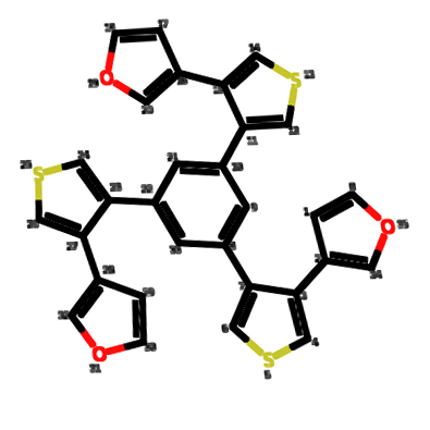 c1cc(-c2cscc2-c2cc(-c3cscc3-c3ccoc3)cc(-c3cscc3-c3ccoc3)c2)co1